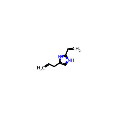 C=CCc1c[nH]c(C=C)n1